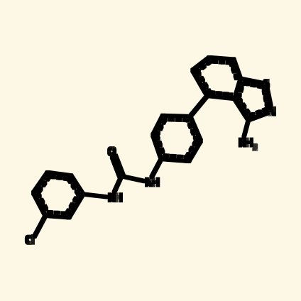 Nc1nsc2cccc(-c3ccc(NC(=O)Nc4cccc(Cl)c4)cc3)c12